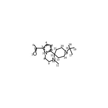 CC(=O)c1ccc2n1CCN(C)C21CCN(C(C)(C)C)CC1